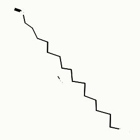 CCCCCCCCCCCCCCCCN=O.[NH3+][O-]